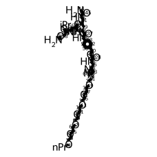 CCCOCCOCCOCCOCCOCCOCCOCCn1cc(CNC(=O)OCc2ccc(NC(=O)[C@H](CCCNC(N)=O)NC(=O)[C@@H](NC(=O)CON)C(C)C)cc2)nn1